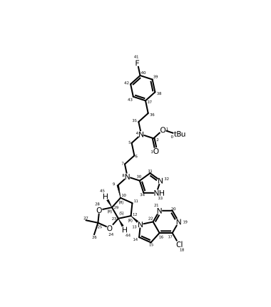 CC(C)(C)OC(=O)N(CCCN(C[C@H]1C[C@@H](n2ccc3c(Cl)ncnc32)[C@@H]2OC(C)(C)O[C@H]12)c1cn[nH]c1)CCc1ccc(F)cc1